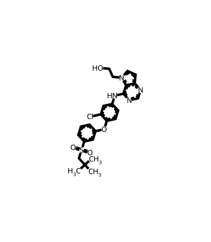 CC(C)(C)CS(=O)(=O)c1cccc(Oc2ccc(Nc3ncnc4ccn(CCO)c34)cc2Cl)c1